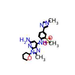 Cc1nc2c(Nc3ccc(-c4cn(C)cn4)cc3S(C)(=O)=O)cc(N)nc2n1C1CCCCO1